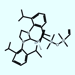 C=C[Si](C)(C)O[Si](C)(C)C(=C)[P@](C)C1N(c2c(C(C)C)cccc2C(C)C)CCN1c1c(C(C)C)cccc1C(C)C